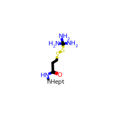 CCCCCCCNC(=O)CCSSC(N)(N)N